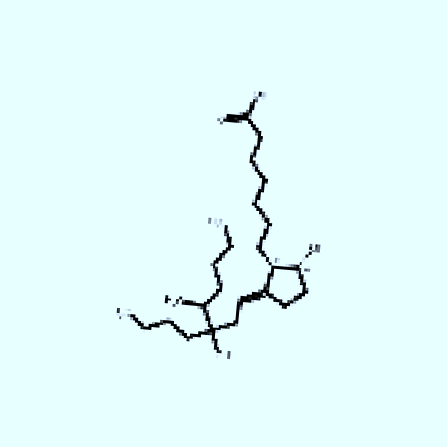 CCCCC(C)C(O)(CC=C1CC[C@@H](O)[C@@H]1CCCCCCC(=O)O)CCCC